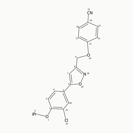 CC(C)Oc1ccc(-c2cc(COc3ccc(C#N)cc3)no2)cc1Cl